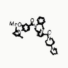 COc1cc(C(=O)N2Cc3ccc(C(=O)N4CCC(N5CCCC5)CC4)n3Cc3ccccc32)ccc1-n1c(C)ccc1C